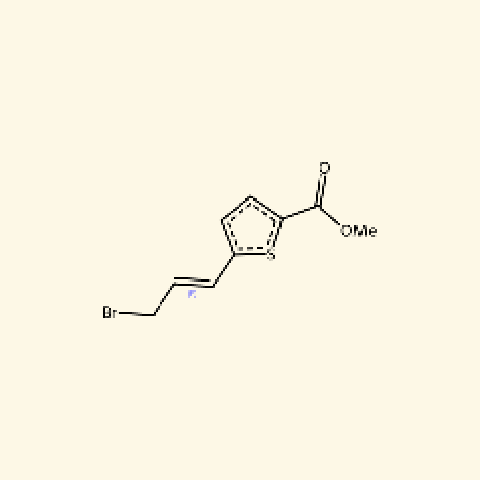 COC(=O)c1ccc(/C=C/CBr)s1